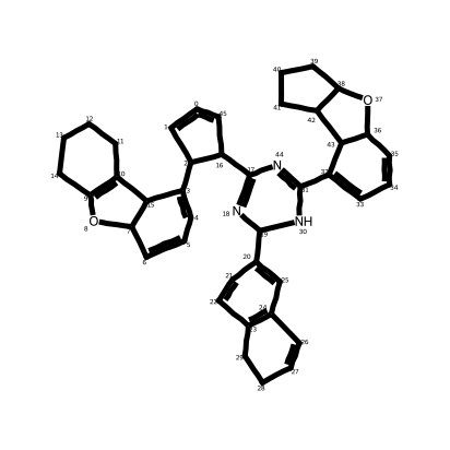 C1=CC(C2=CC=CC3OC4=C(CCCC4)C23)C(C2=NC(c3ccc4c(c3)C=CCC4)NC(C3=CC=CC4OC5CCCC5C34)=N2)C=1